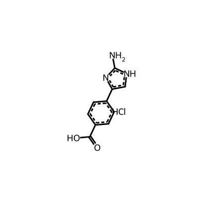 Cl.Nc1nc(-c2ccc(C(=O)O)cc2)c[nH]1